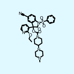 CCOc1ncccc1C1(OC(=O)N2CCC(N3CCN(C)CC3)CC2)C(=O)N(S(=O)(=O)c2ccccc2)c2ccc(C#N)cc21